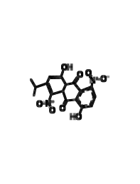 CC(C)C1=C([N+](=O)[O-])C2C(=O)c3c(O)ccc([N+](=O)[O-])c3C(=O)C2C(O)=C1